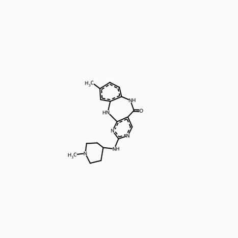 Cc1ccc2c(c1)Nc1nc(NC3CCN(C)CC3)ncc1C(=O)N2